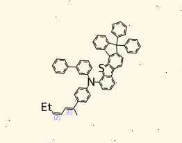 CC/C=C\C=C(/C)c1ccc(N(c2cccc(-c3ccccc3)c2)c2cccc3c2sc2c4c(ccc23)C(c2ccccc2)(c2ccccc2)c2ccccc2-4)cc1